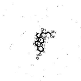 CC(C)[C@@H](O)CC[C@@H](C)[C@H]1CC[C@H]2[C@@H]3CC=C4C[C@@H](OP=O)CC[C@]4(C)[C@H]3CC[C@]12C